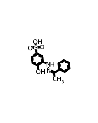 C/C(=N/Nc1cc(S(=O)(=O)O)ccc1O)c1ccccc1